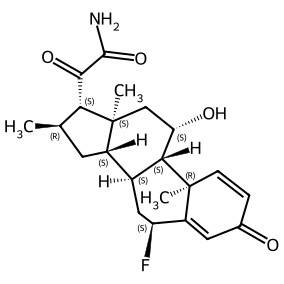 C[C@@H]1C[C@H]2[C@@H]3C[C@H](F)C4=CC(=O)C=C[C@]4(C)[C@H]3[C@@H](O)C[C@]2(C)[C@H]1C(=O)C(N)=O